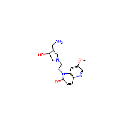 COc1cnc2ccc(=O)n(CCN3CC(O)C(CN)C3)c2c1